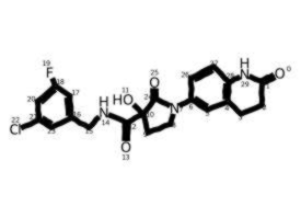 O=C1CCc2cc(N3CCC(O)(C(=O)NCc4cc(F)cc(Cl)c4)C3=O)ccc2N1